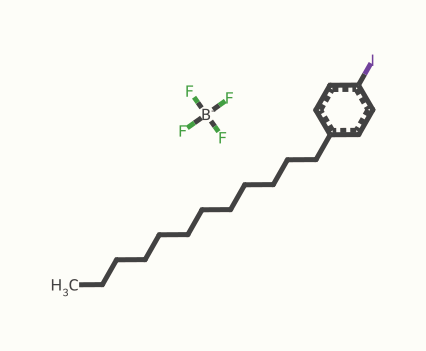 CCCCCCCCCCCCc1ccc(I)cc1.F[B-](F)(F)F